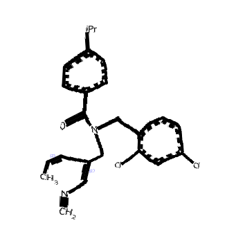 C=N/C=C(\C=C/C)CN(Cc1ccc(Cl)cc1Cl)C(=O)c1ccc(C(C)C)cc1